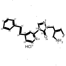 Cl.NC/C(=C\F)Cn1ncn(-c2cc(/C=C/c3ccccc3)ccn2)c1=O